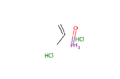 C=CC.Cl.Cl.O=[PH3]